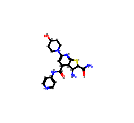 NC(=O)C1Sc2nc(N3CCC(O)CC3)cc(C(=O)Nc3ccncc3)c2C1N